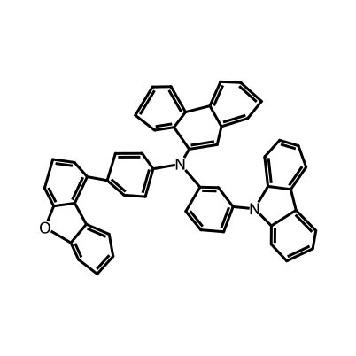 c1cc(N(c2ccc(-c3cccc4oc5ccccc5c34)cc2)c2cc3ccccc3c3ccccc23)cc(-n2c3ccccc3c3ccccc32)c1